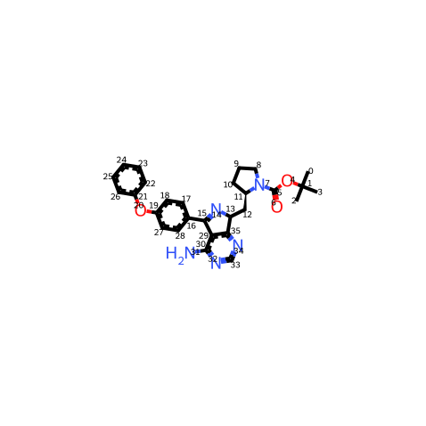 CC(C)(C)OC(=O)N1CCC[C@@H]1CC1N=C(c2ccc(Oc3ccccc3)cc2)c2c(N)ncnc21